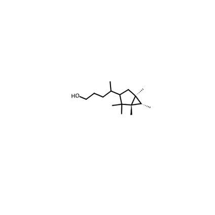 CC(CCCO)C1C[C@@]2(C)[C@H](C)[C@]2(C)C1(C)C